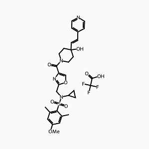 COc1cc(C)c(S(=O)(=O)N(Cc2nc(C(=O)N3CCC(O)(/C=C/c4ccncc4)CC3)co2)C2CC2)c(C)c1.O=C(O)C(F)(F)F